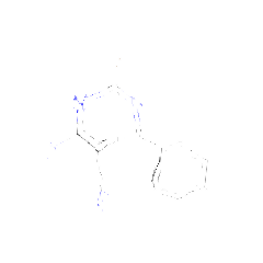 Cc1ccc(-c2nc(S)nc(N)c2C#N)cc1